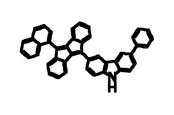 c1ccc(-c2ccc3[nH]c4ccc(C5=C6C(=C(c7cccc8ccccc78)c7ccccc76)c6ccccc65)cc4c3c2)cc1